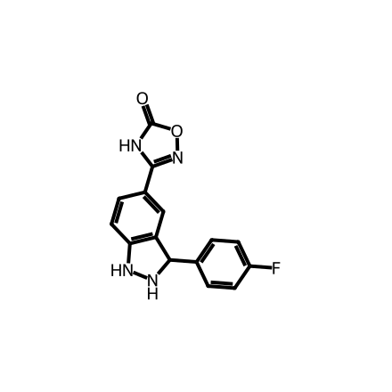 O=c1[nH]c(-c2ccc3c(c2)C(c2ccc(F)cc2)NN3)no1